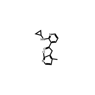 Cc1ccnc(Cl)c1CC(=O)c1cccnc1NC1CC1